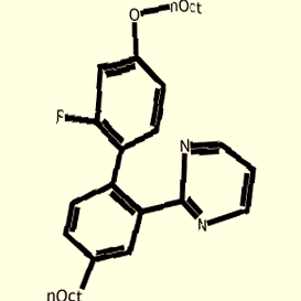 CCCCCCCCOc1ccc(-c2ccc(CCCCCCCC)cc2-c2ncccn2)c(F)c1